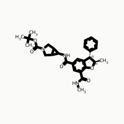 CNC(=O)c1cc(C(=O)NC2C3CN(C(=O)OC(C)(C)C)CC32)cc2c1O[C@H](C)[C@H]2c1ccccc1